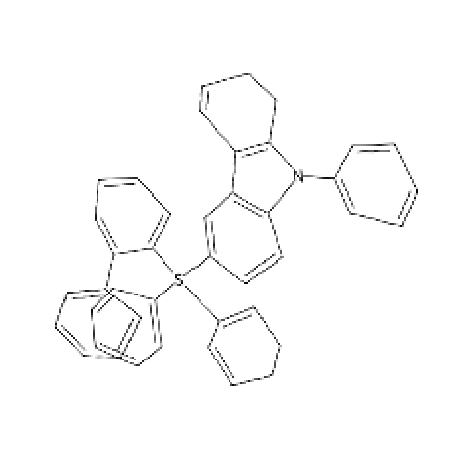 C1=CC(S(c2ccccc2)(c2ccc3c(c2)c2c(n3-c3ccccc3)CCC=C2)c2ccccc2-c2ccccc2)=CCC1